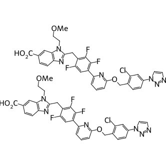 COCCn1c(Cc2c(F)cc(-c3cccc(OCc4ccc(-n5ccnn5)cc4Cl)n3)c(F)c2F)nc2ccc(C(=O)O)cc21.COCCn1c(Cc2c(F)cc(-c3cccc(OCc4ccc(-n5ccnn5)cc4Cl)n3)c(F)c2F)nc2ccc(C(=O)O)cc21